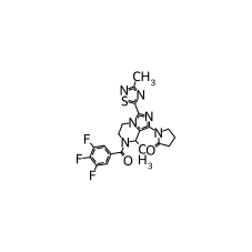 Cc1nsc(-c2nc(N3CCCC3=O)c3n2CCN(C(=O)c2cc(F)c(F)c(F)c2)C3C)n1